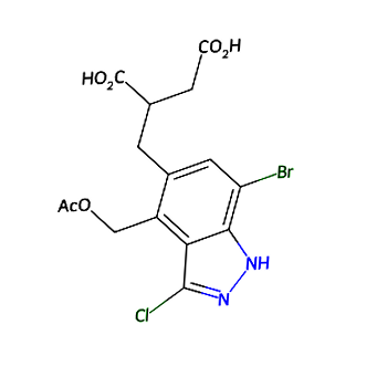 CC(=O)OCc1c(CC(CC(=O)O)C(=O)O)cc(Br)c2[nH]nc(Cl)c12